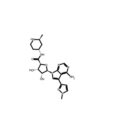 C[C@H]1C[C@H](NC(=O)[C@H]2O[C@@H](n3cc(-c4ccn(C)n4)c4c(N)ncnc43)[C@H](O)[C@@H]2O)CCN1